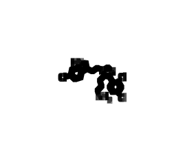 NCCCc1c(-c2ccc(Cl)cc2Cl)ncn1CCc1c[nH]c2cc(Cl)ccc12